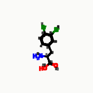 NC(Cc1ccc(Br)c(Br)c1)C(=O)O